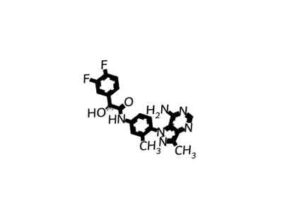 Cc1cc(NC(=O)[C@H](O)c2ccc(F)c(F)c2)ccc1-n1nc(C)c2ncnc(N)c21